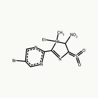 CC[N+]1(C)C(c2ncc(Br)cn2)=NC(=S(=O)=O)C1[N+](=O)[O-]